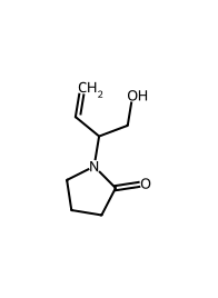 C=CC(CO)N1CCCC1=O